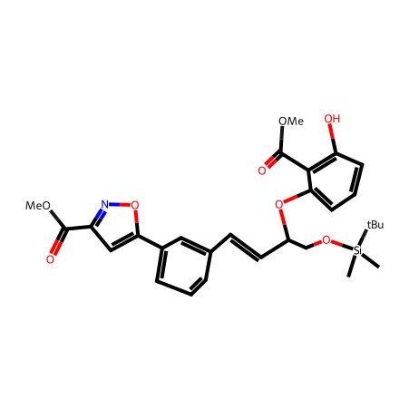 COC(=O)c1cc(-c2cccc(/C=C/C(CO[Si](C)(C)C(C)(C)C)Oc3cccc(O)c3C(=O)OC)c2)on1